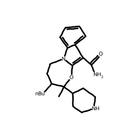 CCCCC1CCn2c(c(C(N)=O)c3ccccc32)OC1(C)C1CCNCC1